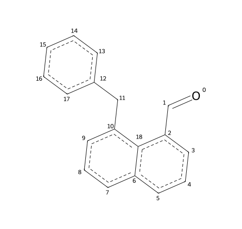 O=Cc1cccc2cccc(Cc3ccccc3)c12